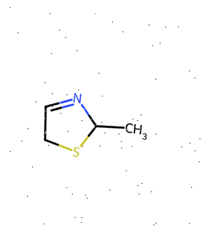 CC1N=CCS1